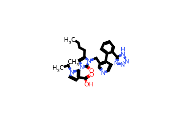 CCCCc1cn(-c2c(C(=O)O)ccn2C(C)C)c(=O)n1Cc1cnccc1-c1ccccc1-c1nnn[nH]1